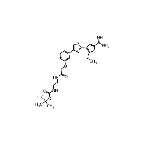 CSc1sc(C(=N)N)cc1-c1nc(-c2cccc(OCC(=O)NCCNC(=O)OC(C)(C)C)c2)cs1